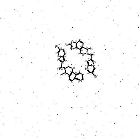 CC1c2ccc3ncccc3c2CCN1C(=O)c1cc2ncc(Br)cn2n1.Cc1nc2c3c(ccc2o1)C(C)N(C(=O)c1cc2ncc(Br)cn2n1)CC3